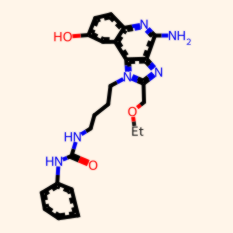 CCOCc1nc2c(N)nc3ccc(O)cc3c2n1CCCCNC(=O)Nc1ccccc1